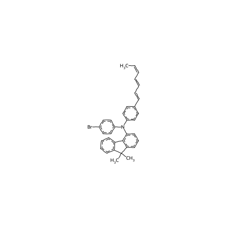 C\C=C/C=C/C=C/c1ccc(N(c2ccc(Br)cc2)c2cccc3c2-c2ccccc2C3(C)C)cc1